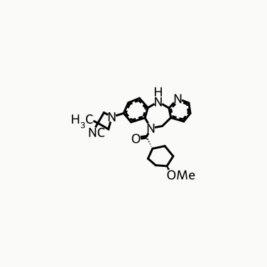 CO[C@H]1CC[C@H](C(=O)N2Cc3cccnc3Nc3ccc(N4CC(C)(C#N)C4)cc32)CC1